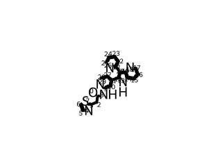 O=C(Cc1nccs1)Nc1cc(-c2[nH]c3cccnc3c2-c2ccccn2)ccn1